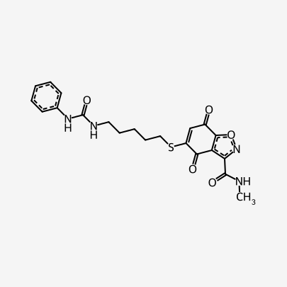 CNC(=O)c1noc2c1C(=O)C(SCCCCCNC(=O)Nc1ccccc1)=CC2=O